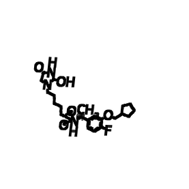 C[C@@H](NS(=O)(=O)CCCCCN1CC(=O)NC1O)c1ccc(F)c(OCC2CCCC2)c1